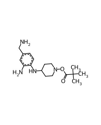 CC(C)(C)C(=O)ON1CCC(Nc2ccc(CN)cc2N)CC1